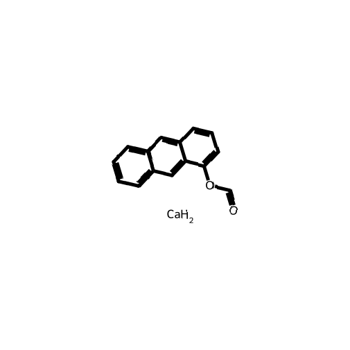 O=COc1cccc2cc3ccccc3cc12.[CaH2]